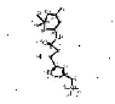 C[C@H]1C[C@@H](OC(=O)CCc2cc(C[N+](C)(C)C)on2)CC(C)(C)C1.[I-]